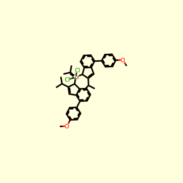 COc1ccc(-c2cccc3c2C=C(C(C)C)[CH]3[Zr]([Cl])([Cl])(=[C](C)C)[CH]2C(C(C)C)=Cc3c(-c4ccc(OC)cc4)cccc32)cc1